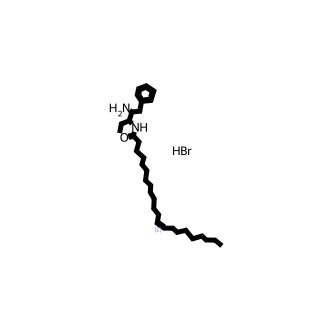 Br.CCCCCCCC/C=C\CCCCCCCCCCCC(=O)NC(CC)C(N)Cc1ccccc1